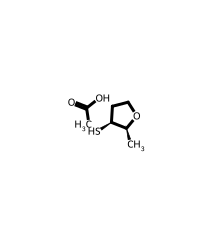 CC(=O)O.C[C@@H]1OCC[C@@H]1S